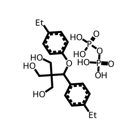 CCc1ccc(OC(c2ccc(CC)cc2)C(CO)(CO)CO)cc1.O=P(O)(O)OP(=O)(O)O